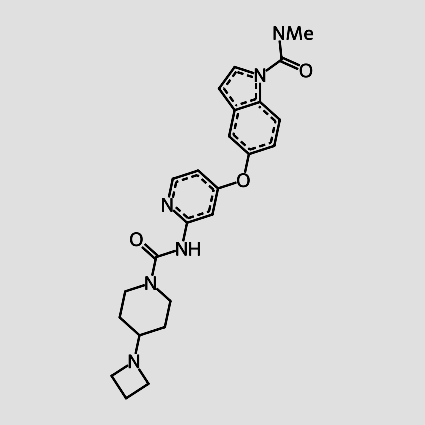 CNC(=O)n1ccc2cc(Oc3ccnc(NC(=O)N4CCC(N5CCC5)CC4)c3)ccc21